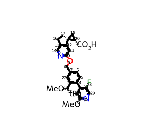 COc1cc(-c2ccc(COc3cc4c(cn3)CC[C@@]43C[C@@H]3C(=O)O)cc2[C@@H](OC)C(C)(C)C)c(F)cn1